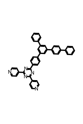 c1ccc(-c2ccc(-c3cc(-c4ccccc4)cc(-c4ccc(-c5nc(-c6ccncc6)nc(-c6ccncc6)n5)cc4)c3)cc2)cc1